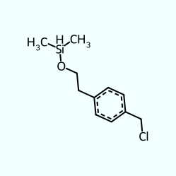 C[SiH](C)OCCc1ccc(CCl)cc1